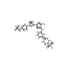 Cc1nc(-c2cc(-c3ccc(OC(C)(F)F)cc3)no2)nn1Cc1cccc(N2CCC(S(C)(=O)=O)CC2)c1